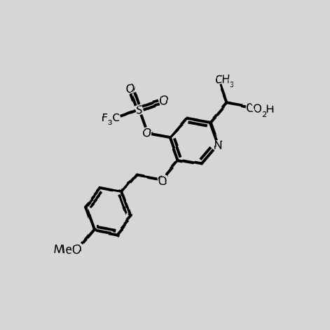 COc1ccc(COc2cnc(C(C)C(=O)O)cc2OS(=O)(=O)C(F)(F)F)cc1